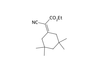 CCOC(=O)C(C#N)=C1CC(C)(C)CC(C)(C)C1